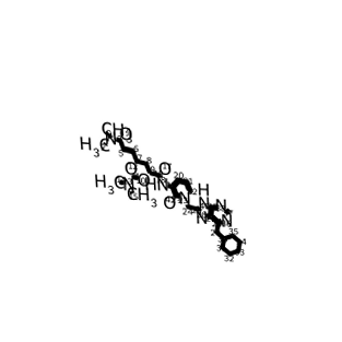 CN(C)C(=O)/C=C/CCC(OC(=O)N(C)C)C(=O)Nc1cccn(Cc2nc3c(CC4CCCCC4)ncnc3[nH]2)c1=O